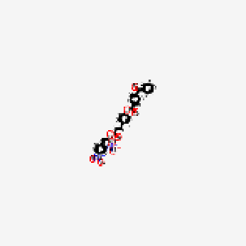 O=C(/C=C/c1ccc(OC(=O)c2ccc(C(=O)c3ccccc3)cc2)cc1)OCCc1ccc([N+](=O)[O-])cc1[N+](=O)[O-]